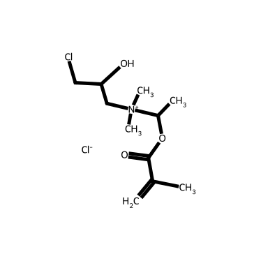 C=C(C)C(=O)OC(C)[N+](C)(C)CC(O)CCl.[Cl-]